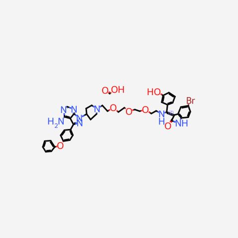 Nc1ncnc2c1c(-c1ccc(Oc3ccccc3)cc1)nn2C1CCN(CCOCCOCCOCCN/C(=C2\C(=O)Nc3ccc(Br)cc32)c2cccc(O)c2)CC1.O=CO